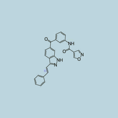 O=C(Nc1cccc(C(=O)c2ccc3c(/C=C/c4ccccc4)n[nH]c3c2)c1)c1cnoc1